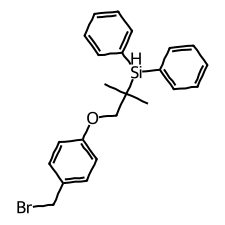 CC(C)(COc1ccc(CBr)cc1)[SiH](c1ccccc1)c1ccccc1